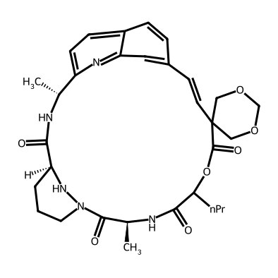 CCCC1OC(=O)C2(/C=C/c3ccc4ccc(nc4c3)[C@@H](C)NC(=O)[C@@H]3CCCN(N3)C(=O)[C@H](C)NC1=O)COCOC2